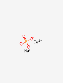 O=P([O-])([O-])[O-].[Cd+2].[Na+]